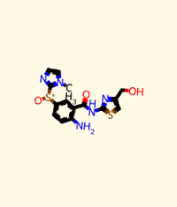 Cn1ccnc1[S+]([O-])c1ccc(N)c(C(=O)Nc2nc(CO)cs2)c1